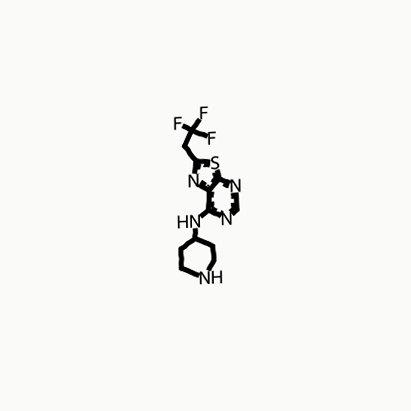 FC(F)(F)Cc1nc2c(NC3CCNCC3)ncnc2s1